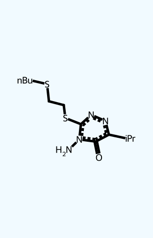 CCCCSCCSc1nnc(C(C)C)c(=O)n1N